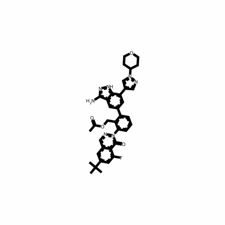 CC(=O)OCc1c(-c2cc(-c3cnn(C4CCOCC4)c3)c3[nH]nc(N)c3c2)cccc1-n1ncc2cc(C(C)(C)C)cc(F)c2c1=O